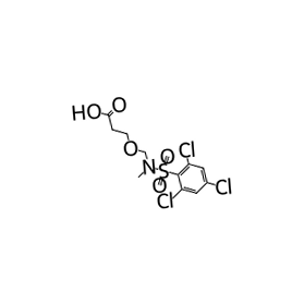 CN(COCCC(=O)O)S(=O)(=O)c1c(Cl)cc(Cl)cc1Cl